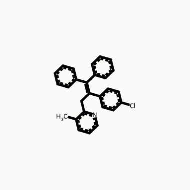 Cc1cccnc1CC(=C(c1ccccc1)c1ccccc1)c1ccc(Cl)cc1